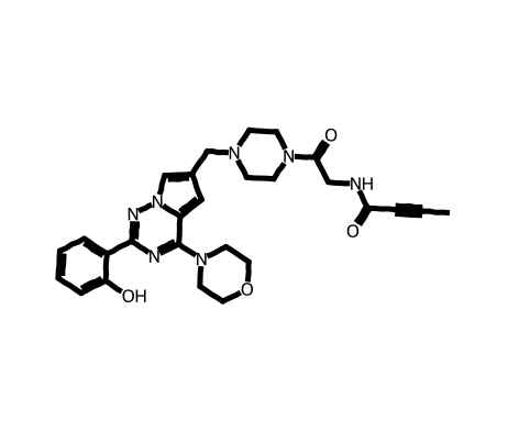 CC#CC(=O)NCC(=O)N1CCN(Cc2cc3c(N4CCOCC4)nc(-c4ccccc4O)nn3c2)CC1